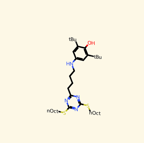 CCCCCCCCSc1nc(CCCCNc2cc(C(C)(C)C)c(O)c(C(C)(C)C)c2)nc(SCCCCCCCC)n1